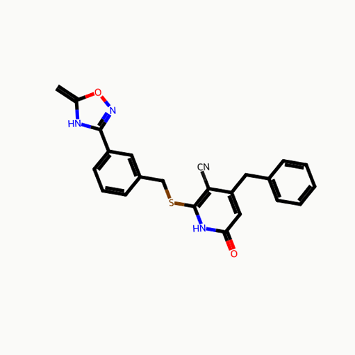 C=C1NC(c2cccc(CSc3[nH]c(=O)cc(Cc4ccccc4)c3C#N)c2)=NO1